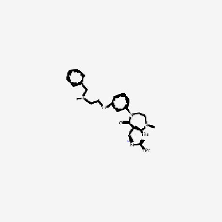 C=C(CCC)/N=C\C1=C(C(C)CC)N(C)CCN(c2cccc(OCCN(C)Cc3ccccc3)c2)C1=O